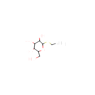 CCCCCCCCSC1OC(CO)C(O)C(O)C1O